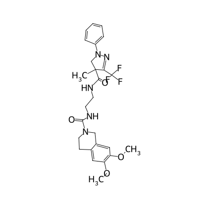 COc1cc2c(cc1OC)CN(C(=O)NCCNC(=O)C1(C)CN(c3ccccc3)N=C1C(F)(F)F)CC2